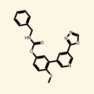 CSc1ccc(OC(=O)NCc2ccccc2)cc1-c1cncc(-c2nnco2)c1